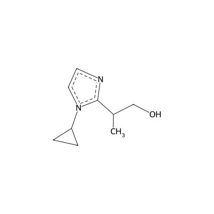 CC(CO)c1nccn1C1CC1